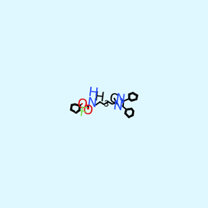 CC1(CCCCCNC(=O)Oc2ccccc2F)N=C(c2ccccc2)C(c2ccccc2)=N1